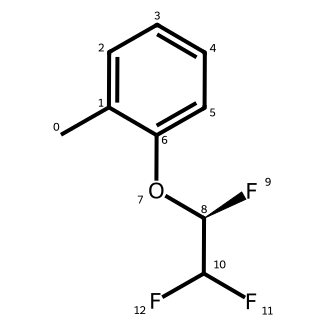 Cc1ccccc1O[C@@H](F)C(F)F